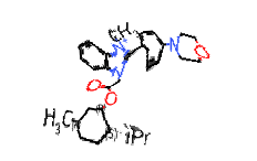 CC(C)[C@@H]1CC[C@@H](C)C[C@H]1OC(=O)Cn1c(-c2ccc(N3CCOCC3)cc2)[n+](C)c2ccccc21